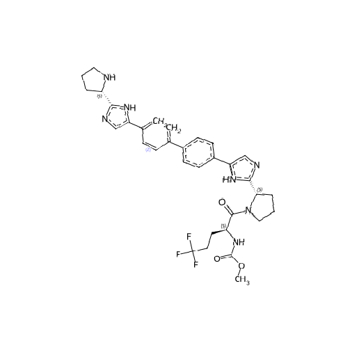 C=C(/C=C\C(=C)c1cnc([C@@H]2CCCN2)[nH]1)c1ccc(-c2cnc([C@@H]3CCCN3C(=O)[C@H](CCC(F)(F)F)NC(=O)OC)[nH]2)cc1